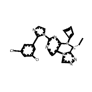 CC[C@@H]1c2nncn2-c2cnc(-n3ccnc3-c3cc(Cl)cc(Cl)c3)nc2N1C1=CC=C1